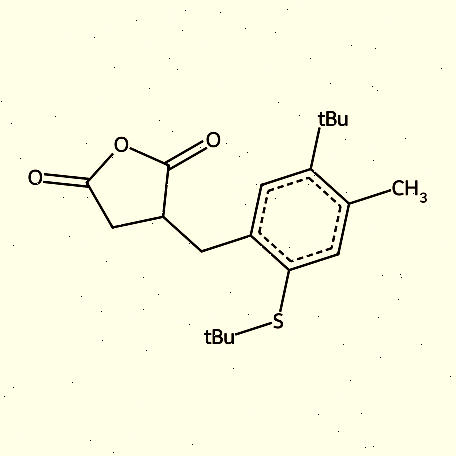 Cc1cc(SC(C)(C)C)c(CC2CC(=O)OC2=O)cc1C(C)(C)C